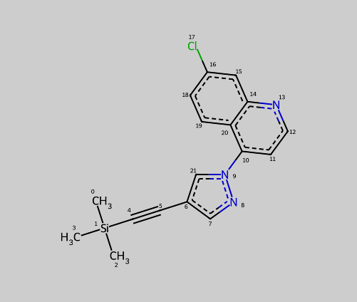 C[Si](C)(C)C#Cc1cnn(-c2ccnc3cc(Cl)ccc23)c1